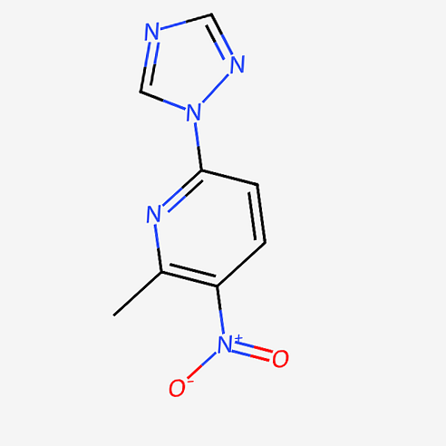 Cc1nc(-n2cncn2)ccc1[N+](=O)[O-]